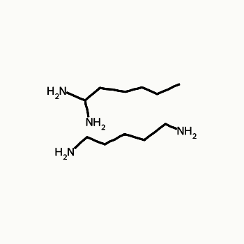 CCCCCC(N)N.NCCCCCN